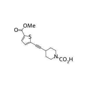 COC(=O)c1ccc(C#CC2CCN(C(=O)O)CC2)s1